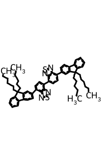 CCCCCCC1(CCCCCC)c2ccccc2-c2ccc(-c3ccc(-c4ccc(-c5ccc6c(c5)C(CCCCCC)(CCCCCC)c5ccccc5-6)c5nsnc45)c4nsnc34)cc21